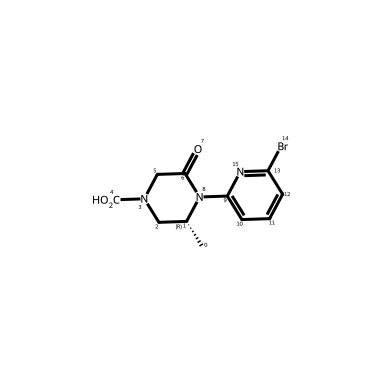 C[C@@H]1CN(C(=O)O)CC(=O)N1c1cccc(Br)n1